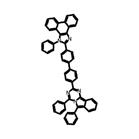 c1ccc(-c2nc(-c3ccc(-c4ccc(-c5nc6c7ccccc7c7ccccc7c6n5-c5ccccc5)cc4)cc3)nc3c4ccccc4c(-c4ccccc4)n23)cc1